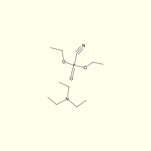 CCN(CC)CC.CCOP(=O)(C#N)OCC